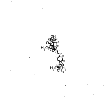 CC(C)[C@H]1C(=O)N(S(C)(=O)=O)[C@H]2CCN(C(=O)CCCC3CCN(C(=O)OC(C)(C)C)CC3)[C@H]12